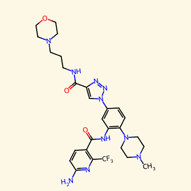 CN1CCN(c2ccc(-n3cc(C(=O)NCCCN4CCOCC4)nn3)cc2NC(=O)c2ccc(N)nc2C(F)(F)F)CC1